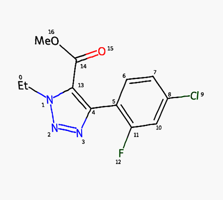 CCn1nnc(-c2ccc(Cl)cc2F)c1C(=O)OC